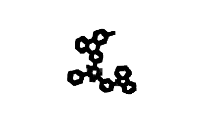 Cc1ccc2c3ccccc3c3cc(-c4nc(-c5ccccc5)nc(-c5cccc(-n6c7ccccc7c7ccccc76)c5)n4)ccc3c2c1